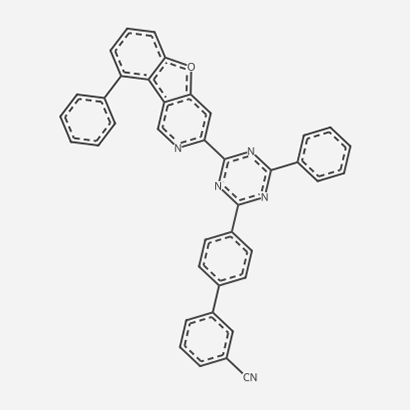 N#Cc1cccc(-c2ccc(-c3nc(-c4ccccc4)nc(-c4cc5oc6cccc(-c7ccccc7)c6c5cn4)n3)cc2)c1